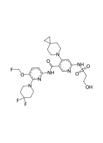 O=C(Nc1ccc(OCF)c(N2CCC(F)(F)CC2)n1)c1cnc(NS(=O)(=O)CCO)cc1N1CCC2(CC1)CC2